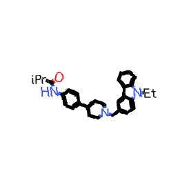 CCn1c2ccccc2c2cc(CN3CCC(c4ccc(NC(=O)C(C)C)cc4)CC3)ccc21